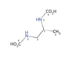 C[C@H](CNC(=O)O)NC(=O)O